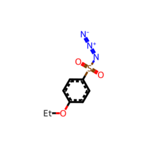 CCOc1ccc(S(=O)(=O)N=[N+]=[N-])cc1